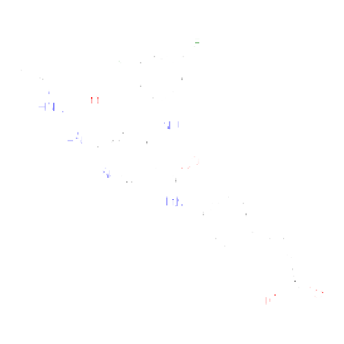 CCNC(=O)Nc1cc(Nc2cc(F)cc(F)c2)c(C(=O)Nc2ccc(C3CC3C(=O)O)cc2)cn1